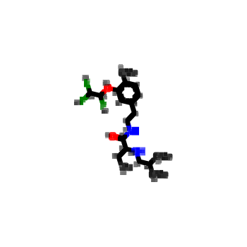 COc1ccc(CCNC(=O)C(CC(C)(C)C)NCC(OC)OC)cc1OC(F)C(F)F